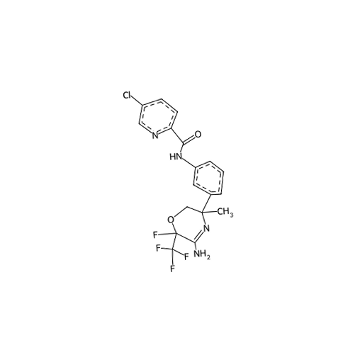 CC1(c2cccc(NC(=O)c3ccc(Cl)cn3)c2)COC(F)(C(F)(F)F)C(N)=N1